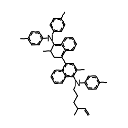 C=CC(C)CCCN(c1ccc(C)cc1)c1c(C)cc(C2=c3ccccc3=C(N(c3ccc(C)cc3)c3ccc(C)cc3)C(C)C2)c2ccccc12